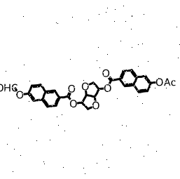 CC(=O)Oc1ccc2cc(C(=O)OC3COC4C(OC(=O)c5ccc6cc(OC=O)ccc6c5)COC34)ccc2c1